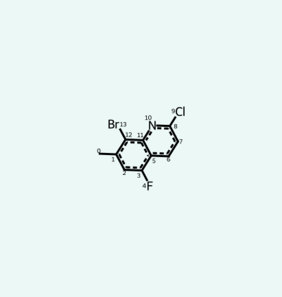 Cc1cc(F)c2ccc(Cl)nc2c1Br